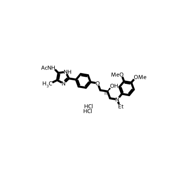 CCN(C[C@H](O)COc1ccc(-c2nc(C)c(NC(C)=O)[nH]2)cc1)c1ccc(OC)c(OC)c1.Cl.Cl